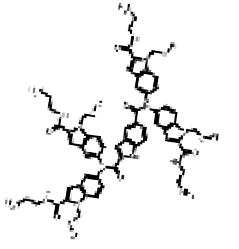 CCOCn1c(C(=O)NCCN)cc2cc(N(C(=O)c3ccc4[nH]c(C(=O)N(c5ccc6c(c5)cc(C(=O)NCCN)n6COCC)c5ccc6c(c5)cc(C(=O)NCCN)n6COCC)cc4c3)c3ccc4c(c3)cc(C(=O)NCCN)n4COCC)ccc21